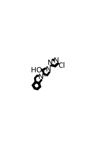 O[C@H]1CN(c2cc(Cl)ncn2)CC[C@@H]1N1CCc2ccccc2C1